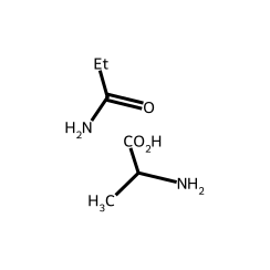 CC(N)C(=O)O.CCC(N)=O